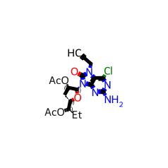 C#CCn1c(=O)n([C@@H]2O[C@H]([C@H](CC)OC(C)=O)C[C@H]2OC(C)=O)c2nc(N)nc(Cl)c21